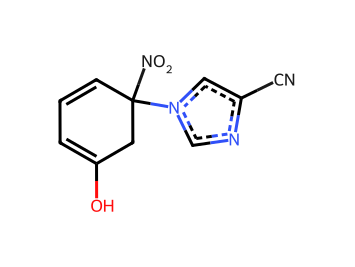 N#Cc1cn(C2([N+](=O)[O-])C=CC=C(O)C2)cn1